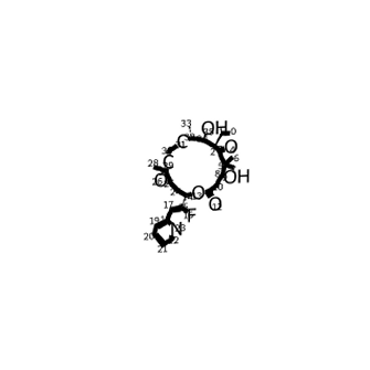 CC[C@H]1C(=O)C(C)(C)[C@@H](O)CC(=O)O[C@H](C(F)=Cc2ccccn2)CC2OC2(C)CCC[C@H](C)[C@@H]1O